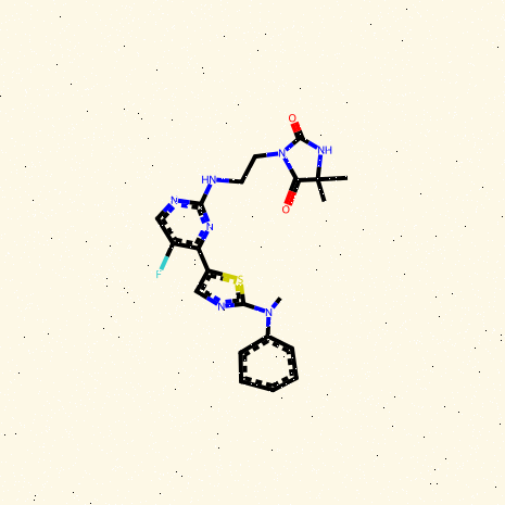 CN(c1ccccc1)c1ncc(-c2nc(NCCN3C(=O)NC(C)(C)C3=O)ncc2F)s1